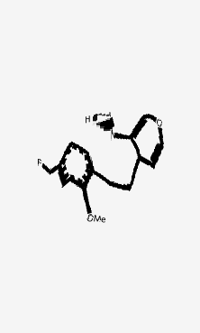 COc1cc(F)ccc1CC1C=COC=C1N=N